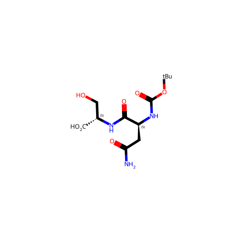 CC(C)(C)OC(=O)N[C@@H](CC(N)=O)C(=O)N[C@@H](CO)C(=O)O